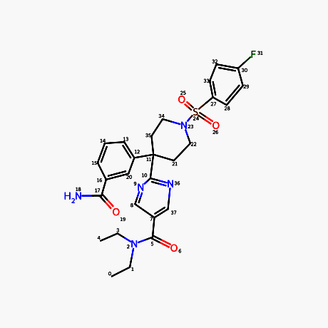 CCN(CC)C(=O)c1cnc(C2(c3cccc(C(N)=O)c3)CCN(S(=O)(=O)c3ccc(F)cc3)CC2)nc1